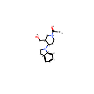 CC(=O)N1CCC(N2CCc3ccccc32)C(CO)C1